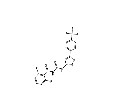 O=C(NC(=O)c1c(F)cccc1F)Nc1cc(-c2ccc(C(F)(F)F)cc2)on1